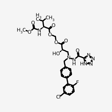 COC(=O)N[C@H](C(=O)OCOC(=O)[C@H](O)CN(Cc1ccc(-c2cc(Cl)ccc2F)cc1)NC(=O)c1nnn[nH]1)C(C)C